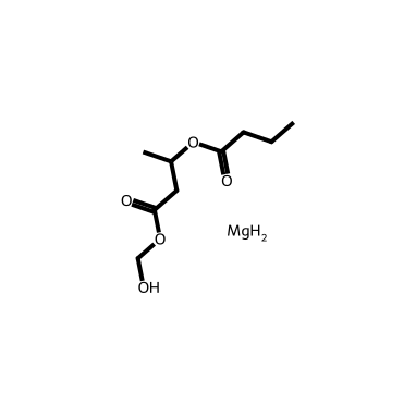 CCCC(=O)OC(C)CC(=O)OCO.[MgH2]